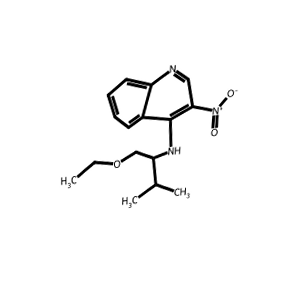 CCOCC(Nc1c([N+](=O)[O-])cnc2ccccc12)C(C)C